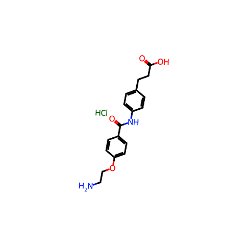 Cl.NCCOc1ccc(C(=O)Nc2ccc(CCC(=O)O)cc2)cc1